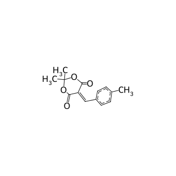 Cc1ccc(C=C2C(=O)OC(C)(C)OC2=O)cc1